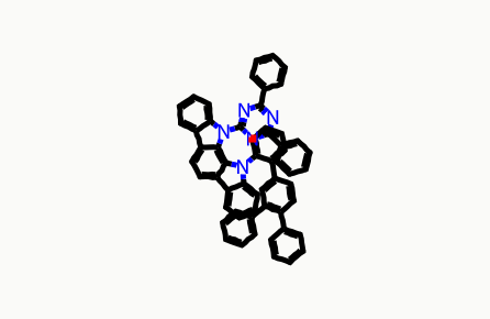 c1ccc(-c2nc(-c3ccccc3)nc(-n3c4ccccc4c4ccc5c6ccccc6n(-c6ccccc6-c6ccc(-c7ccccc7)c(-c7ccccc7)c6)c5c43)n2)cc1